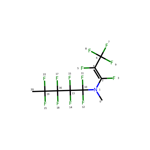 CN(/C(F)=C(\F)C(F)(F)F)C(F)(F)C(F)(F)C(F)(F)C(C)(F)F